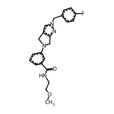 COCCNC(=O)c1cccc(N2Cc3cn(Cc4ccc(F)cc4)nc3C2)c1